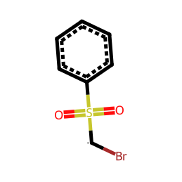 O=S(=O)([CH]Br)c1ccccc1